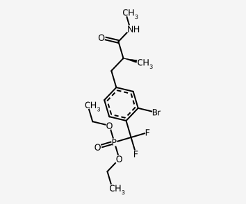 CCOP(=O)(OCC)C(F)(F)c1ccc(C[C@H](C)C(=O)NC)cc1Br